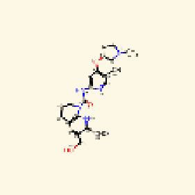 CN1CC[C@H](Oc2cc(NC(=O)N3CCCc4cc(CO)c(C=O)nc43)ncc2C#N)C1